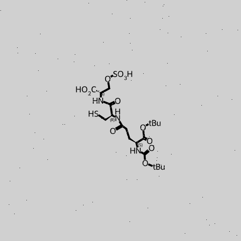 CC(C)(C)OC(=O)N[C@@H](CCC(=O)N[C@@H](CS)C(=O)N[C@@H](COS(=O)(=O)O)C(=O)O)C(=O)OC(C)(C)C